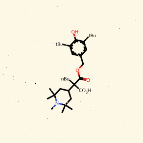 CCCCC(C(=O)O)(C(=O)OCc1cc(C(C)(C)C)c(O)c(C(C)(C)C)c1)C1CC(C)(C)N(C)C(C)(C)C1